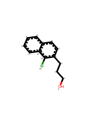 OCCCc1ccc2ccccc2c1Br